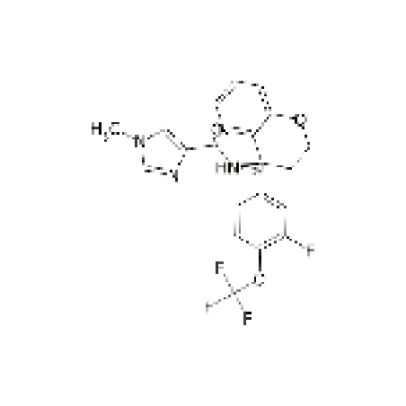 Cn1cnc(C(=O)N[C@]2(c3ccc(OC(F)(F)F)c(F)c3)CCOc3cccnc32)c1